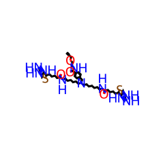 C#CCOCCNC(=O)c1ccc(CN(CCCCCCCNC(=O)CCCCC2SCC3NC(=N)NC32)CCCCCCNC(=O)CCCCC2SCC3NC(=N)NC32)cc1